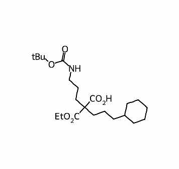 CCOC(=O)C(CCCNC(=O)OC(C)(C)C)(CCCC1CCCCC1)C(=O)O